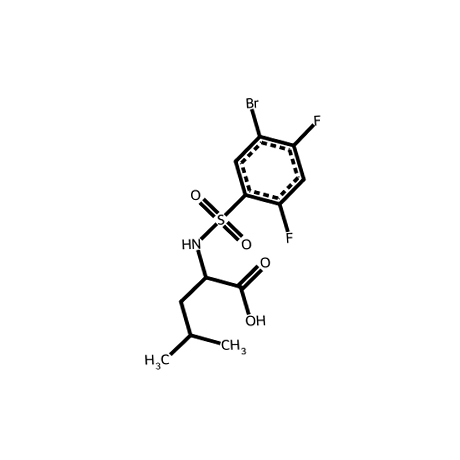 CC(C)CC(NS(=O)(=O)c1cc(Br)c(F)cc1F)C(=O)O